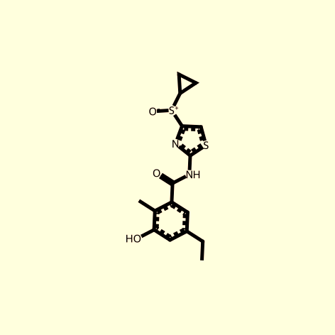 CCc1cc(O)c(C)c(C(=O)Nc2nc([S+]([O-])C3CC3)cs2)c1